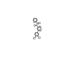 O=C(Nc1ccccn1)c1cc(-c2ccc(Cl)c(Cl)c2)ncn1